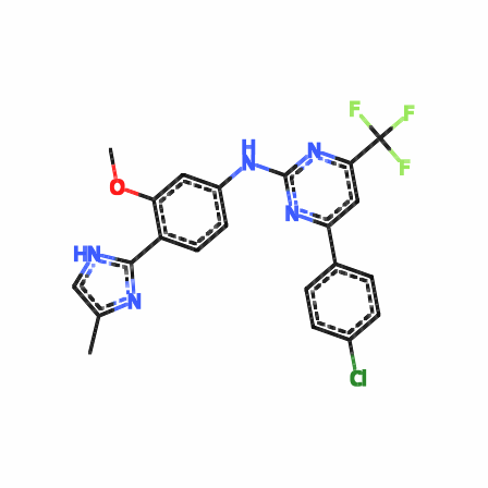 COc1cc(Nc2nc(-c3ccc(Cl)cc3)cc(C(F)(F)F)n2)ccc1-c1nc(C)c[nH]1